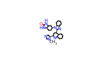 Cn1cncc1-c1cc(-c2nc3ccccc3n2-c2ccc3[nH]c(=O)[nH]c3c2)c2ccccc2n1